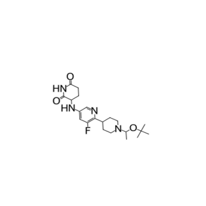 CC(OC(C)(C)C)N1CCC(c2ncc(NC3CCC(=O)NC3=O)cc2F)CC1